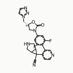 N#CC1(c2ccncc2-c2c(F)cc(N3C[C@H](Cn4ccnn4)OC3=O)cc2F)C2CNCC21